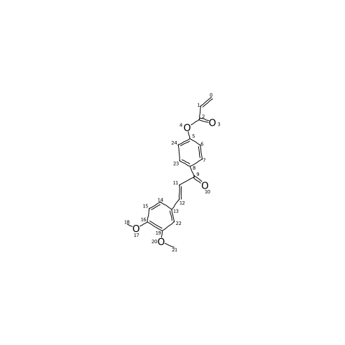 C=CC(=O)Oc1ccc(C(=O)C=Cc2ccc(OC)c(OC)c2)cc1